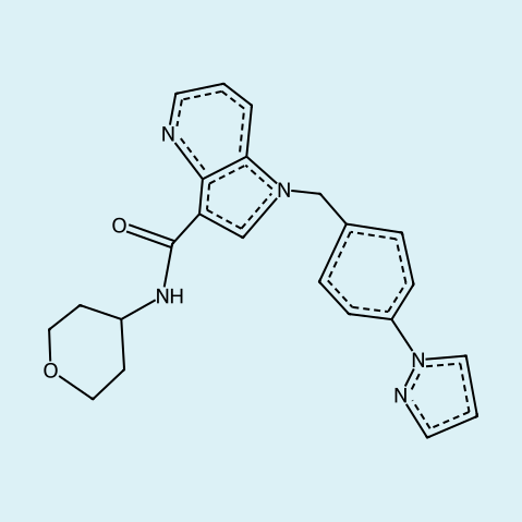 O=C(NC1CCOCC1)c1cn(Cc2ccc(-n3cccn3)cc2)c2cccnc12